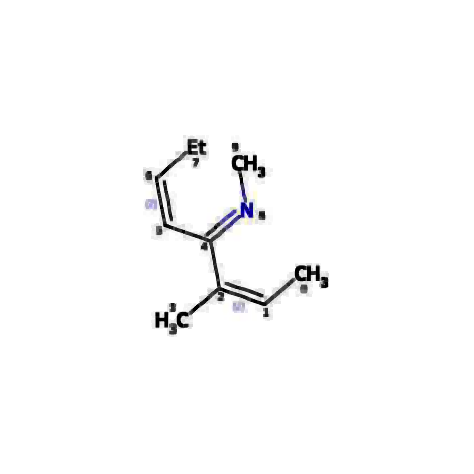 C/C=C(/C)C(/C=C\CC)=NC